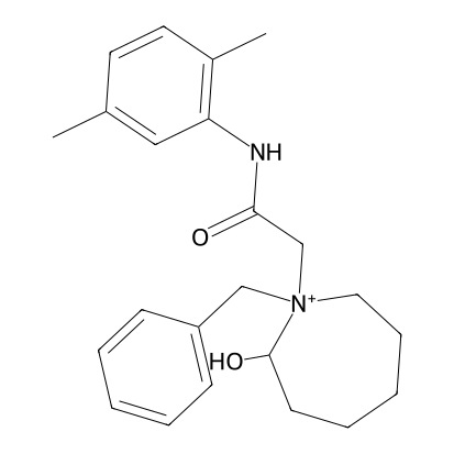 Cc1ccc(C)c(NC(=O)C[N+]2(Cc3ccccc3)CCCCCC2O)c1